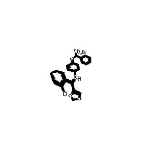 CCOC(=O)C(Oc1ccc(NC(C2=COCO2)c2ccccc2Cl)cc1)c1ccccc1